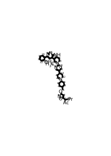 CC(=O)C(c1cc(OCC2CCC(N3CCC(c4cnc(N5CCc6[nH]c7nnc(-c8ccccc8O)cc7c6[C@@H]5C)nc4)CC3)CC2)no1)C(C)C